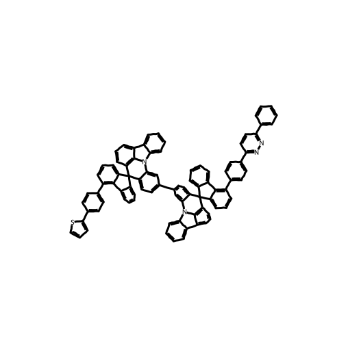 c1ccc(-c2ccc(-c3ccc(-c4cccc5c4-c4ccccc4C54c5ccc(-c6ccc7c(c6)-n6c8ccccc8c8cccc(c86)C76c7ccccc7-c7c(-c8ccc(-c9cccs9)cc8)cccc76)cc5-n5c6ccccc6c6cccc4c65)cc3)nn2)cc1